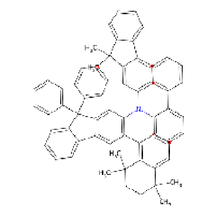 CC1(C)CCC(C)(C)c2c(-c3cc4c(cc3N(c3ccc5c(c3)C(C)(C)c3ccccc3-5)c3ccccc3-c3ccccc3)C(c3ccccc3)(c3ccccc3)c3ccccc3-4)cccc21